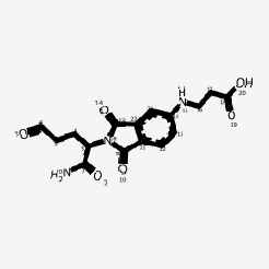 NC(=O)C(CCC=O)N1C(=O)c2ccc(NCCC(=O)O)cc2C1=O